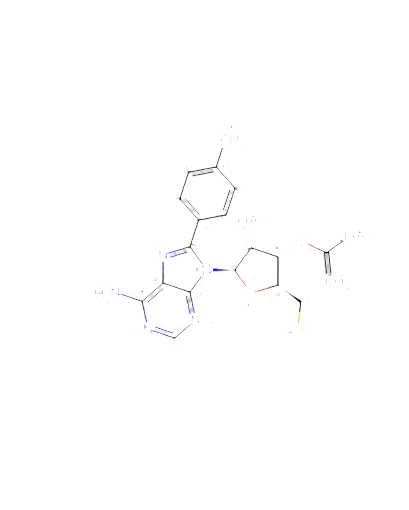 C=C(OC(C)=O)O[C@H]1[C@@H](OC(C)=O)[C@H](n2c(-c3ccc(C)cc3)nc3c(N)ncnc32)O[C@@H]1CS